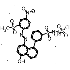 CS(=O)(=O)c1cc([N+](=O)[O-])ccc1N=Nc1ccc(O)c2cccc(-c3cccc(S(N)(=O)=O)c3)c12.O=S(=O)(Cl)Cl